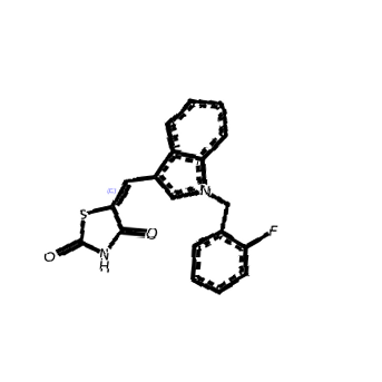 O=C1NC(=O)/C(=C\c2cn(Cc3ccccc3F)c3ccccc23)S1